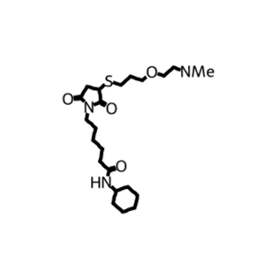 CNCCOCCCSC1CC(=O)N(CCCCCC(=O)NC2CCCCC2)C1=O